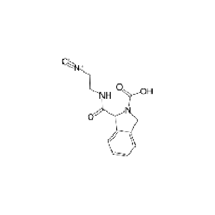 [C-]#[N+]CCNC(=O)C1c2ccccc2CN1C(=O)O